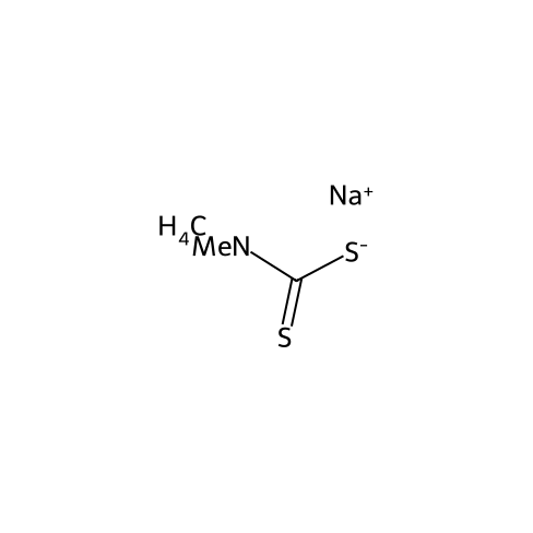 C.CNC(=S)[S-].[Na+]